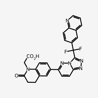 O=C(O)CN1C(=O)CCc2cc(-c3ccc4nnc(C(F)(F)c5ccc6ncccc6c5)n4n3)ccc21